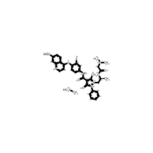 COc1ccc2c(Oc3ccc(NC(=O)c4c(C)n(C[C@H](C)OC(=O)CN(C)C)n(-c5ccccc5)c4=O)cc3F)ccnc2c1.CS(=O)(=O)O